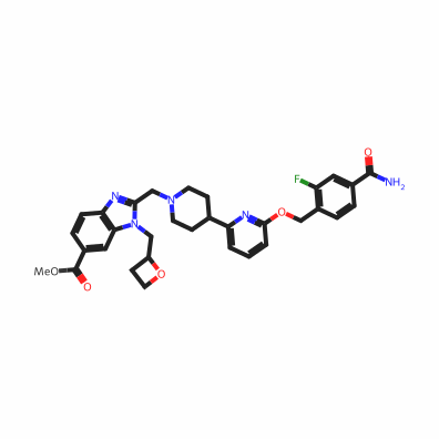 COC(=O)c1ccc2nc(CN3CCC(c4cccc(OCc5ccc(C(N)=O)cc5F)n4)CC3)n(CC3CCO3)c2c1